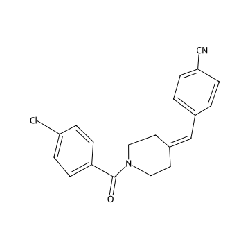 N#Cc1ccc(C=C2CCN(C(=O)c3ccc(Cl)cc3)CC2)cc1